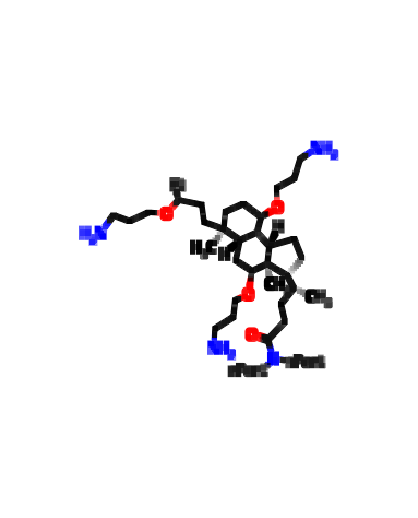 CCCCCN(CCCCC)C(=O)CC[C@@H](C)[C@H]1CC[C@H]2C3[C@H](OCCCN)CC[C@](C)(CC[C@H](CC)OCCCN)[C@H]3C[C@H](OCCCN)[C@]12C